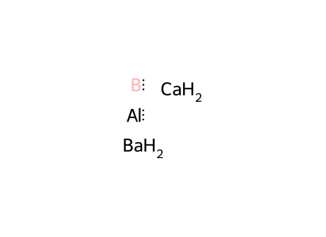 [Al].[B].[BaH2].[CaH2]